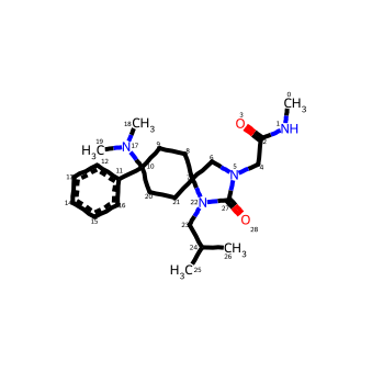 CNC(=O)CN1CC2(CCC(c3ccccc3)(N(C)C)CC2)N(CC(C)C)C1=O